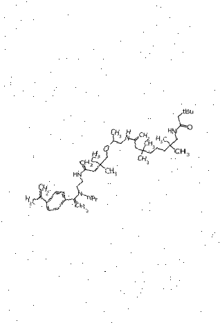 C=C(CC(C)(C)CCCC(C)(C)CNC(=O)CC(C)(C)C)NCC(C)OCC(C)(C)CC(=C)NCCN(CCC)C(=C)c1ccc(C(=C)C)cc1